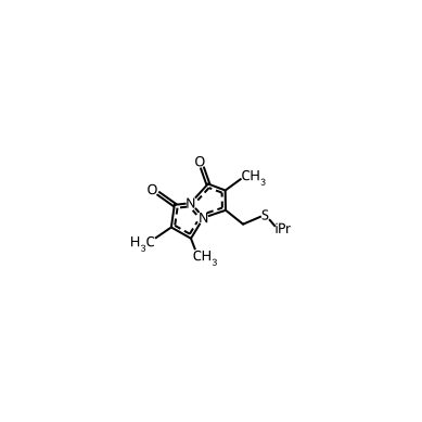 Cc1c(C)n2c(CSC(C)C)c(C)c(=O)n2c1=O